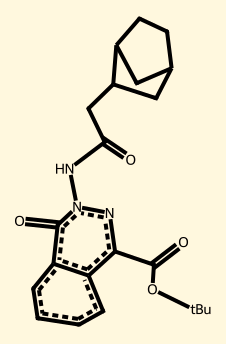 CC(C)(C)OC(=O)c1nn(NC(=O)CC2CC3CCC2C3)c(=O)c2ccccc12